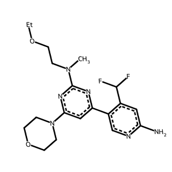 CCOCCN(C)c1nc(-c2cnc(N)cc2C(F)F)cc(N2CCOCC2)n1